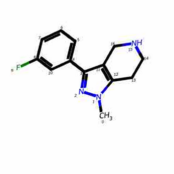 Cn1nc(-c2cccc(F)c2)c2c1CCNC2